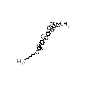 CCCCCCCCOc1cnc(-c2ccc(C(=O)Oc3ccc(C(=O)O[C@@H](CC(=O)OCC)C(F)(F)F)cc3)cc2)nc1